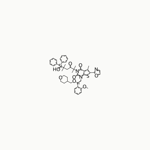 COc1ccccc1[C@H](Cn1c(=O)n(C(C)(C)C(=O)CC(C)(C)[Si](O)(c2ccccc2)c2ccccc2)c(=O)c2c(C)c(-c3ncco3)sc21)OCC1CCOCC1